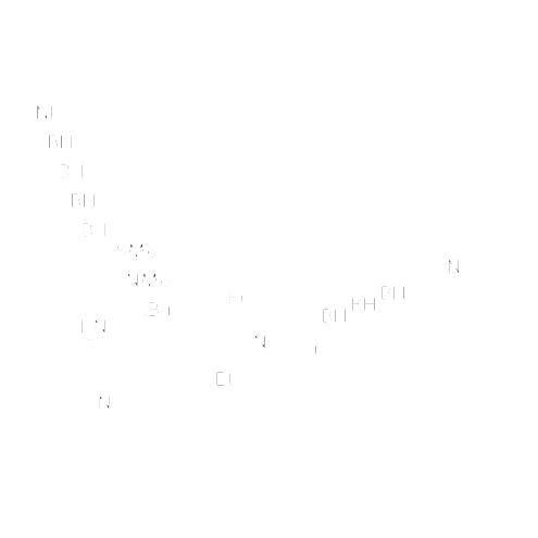 B.B.B.B.B.B.B.CC(C)(C)N.CCN(CC)CC.CN(C)C.CNC.CSC.N.c1ccncc1